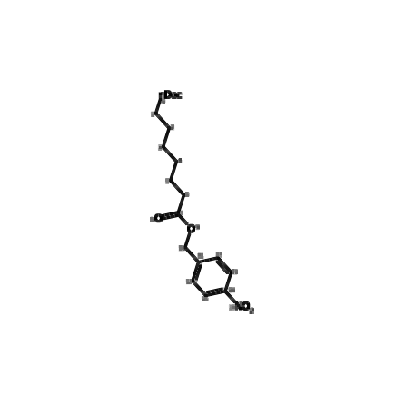 CCCCCCCCCCCCCCCCC(=O)OCc1ccc([N+](=O)[O-])cc1